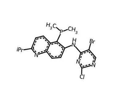 CC(C)c1ccc2c(P(C)C)c(Nc3nc(Cl)ncc3Br)ccc2n1